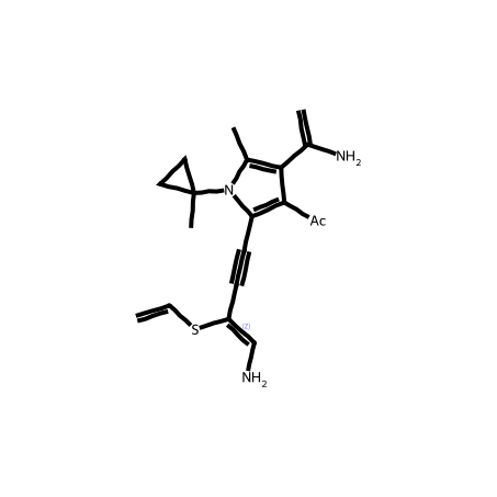 C=CS/C(C#Cc1c(C(C)=O)c(C(=C)N)c(C)n1C1(C)CC1)=C\N